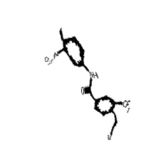 Cc1ccc(NC(=O)c2ccc(CBr)c(C(F)(F)F)c2)cc1[N+](=O)[O-]